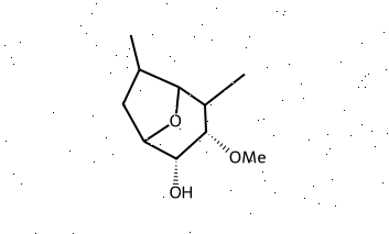 CO[C@H]1C(C)C2OC(CC2C)[C@H]1O